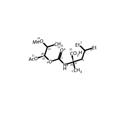 CCC(CC)C[C@](C)(NC(=O)O[C@@H](OC(C)=O)C(C)OC)C(=O)O